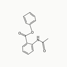 CC(=O)Nc1ccccc1C(=O)Oc1ccccc1